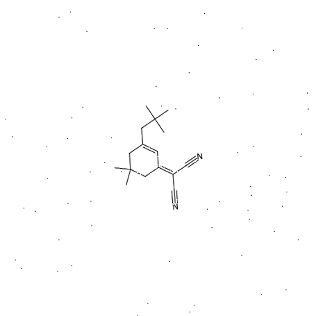 CC(C)(C)CC1=CC(=C(C#N)C#N)CC(C)(C)C1